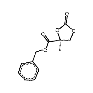 C[C@@]1(C(=O)OCc2ccccc2)COC(=O)O1